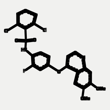 COc1cc2nccc(Oc3ccc(NS(=O)(=O)c4c(Cl)cccc4Cl)c(F)c3)c2cc1OC